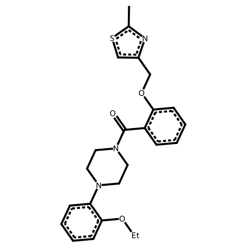 CCOc1ccccc1N1CCN(C(=O)c2ccccc2OCc2csc(C)n2)CC1